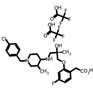 CC1CN(Cc2ccc(Cl)cc2)CCC1NC[C@](C)(O)COc1cc(F)ccc1CC(=O)O.O=C(O)C(F)(F)F.O=C(O)C(F)(F)F